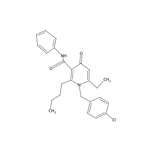 CCCCc1c(C(=O)Nc2ccccc2)c(=O)cc(CC)n1Cc1ccc(Cl)cc1